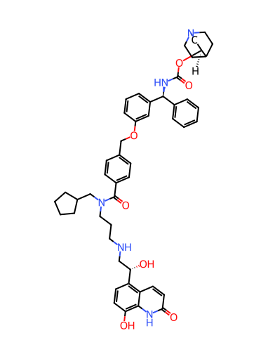 O=C(N[C@@H](c1ccccc1)c1cccc(OCc2ccc(C(=O)N(CCCNC[C@H](O)c3ccc(O)c4[nH]c(=O)ccc34)CC3CCCC3)cc2)c1)O[C@H]1CN2CCC1CC2